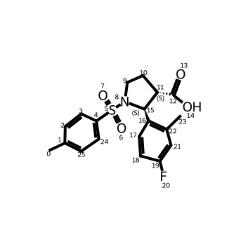 Cc1ccc(S(=O)(=O)N2CC[C@H](C(=O)O)[C@H]2c2ccc(F)cc2C)cc1